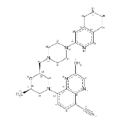 Cc1cnc2c(C#N)ccc(N3C[C@H](CN4CCN(c5cc6c(cn5)CCNC6)CC4)O[C@H](C)C3)c2n1